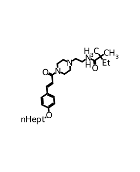 CCCCCCCOc1ccc(/C=C/C(=O)N2CCN(CCNC(=O)C(C)(C)CC)CC2)cc1